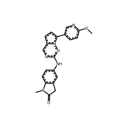 COc1ccc(-c2ccc3cnc(Nc4ccc5c(c4)CC(=O)N5C)nn23)cn1